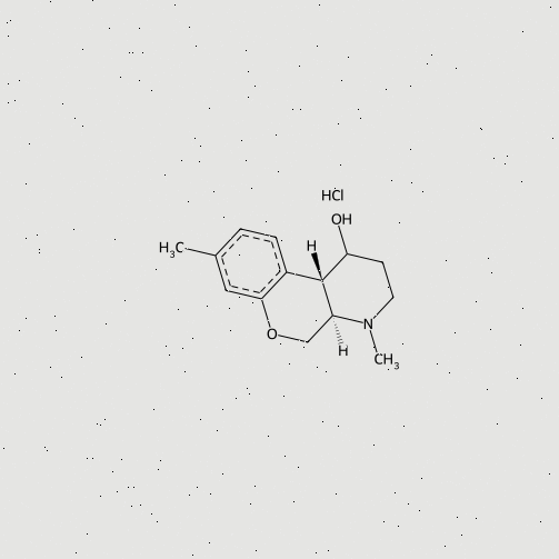 Cc1ccc2c(c1)OC[C@H]1[C@H]2C(O)CCN1C.Cl